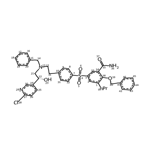 CCCc1cc(S(=O)(=O)c2ccc(CCN(Cc3ccccc3)C[C@H](O)c3ccc(Cl)nc3)cc2)cc(C(N)=O)c1OCc1ccccc1